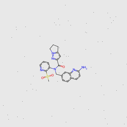 CS(=O)(=O)c1ncccc1N(Cc1ccc2ccc(N)nc2c1)C(=O)c1cc2n(n1)CCC2